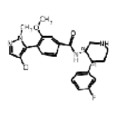 COc1cc(C(=O)N[C@@H]2CNCC[C@H]2c2cccc(F)c2)ccc1-c1c(Cl)cnn1C